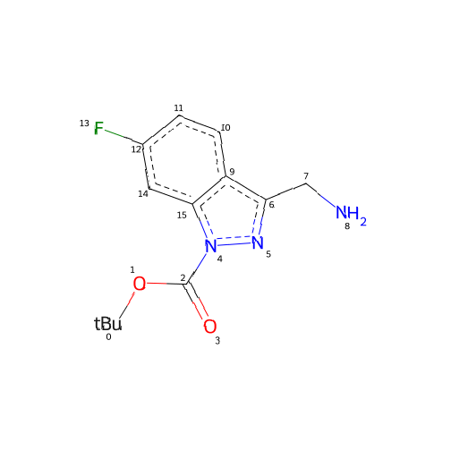 CC(C)(C)OC(=O)n1nc(CN)c2ccc(F)cc21